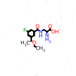 CCO[C@@H](C)c1cc(F)cc(C(=O)NCC(N)C(=O)O)c1